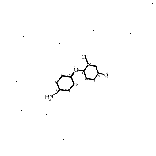 CC1CCC(OC2CCC(Cl)CC2Cl)CC1